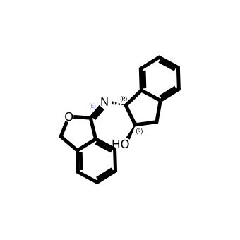 O[C@@H]1Cc2ccccc2[C@H]1/N=C1/OCc2ccccc21